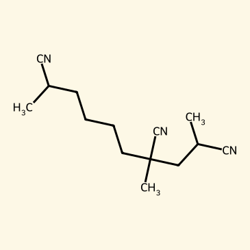 CC(C#N)CCCCC(C)(C#N)CC(C)C#N